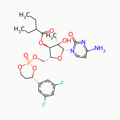 CCC(CC)C(=O)O[C@@H]1[C@@H](COP2(=O)OCC[C@@H](c3cc(F)cc(F)c3)O2)O[C@@H](n2ccc(N)nc2=O)[C@]1(C)O